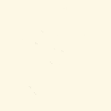 COCCC(C(=O)Nc1ccc2nn(C)cc2c1)n1cc(OC)c(-c2cc(Cl)ccc2-n2cnc(C(F)(F)F)c2)cc1=O